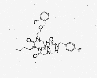 CCCC[C@H]1C(=O)N(CCOCc2ccccc2F)C[C@H]2N1C(=O)CN(C)N2C(=O)NCc1ccc(F)cc1